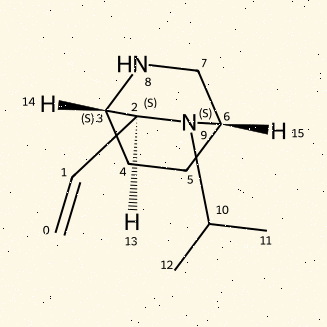 C=C[C@H]1[C@@H]2CC[C@@H](CN2)N1C(C)C